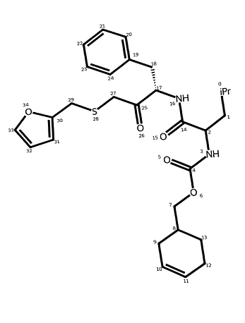 CC(C)CC(NC(=O)OCC1CC=CCC1)C(=O)N[C@@H](Cc1ccccc1)C(=O)CSCc1ccco1